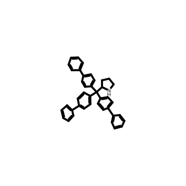 c1ccc(-c2ccc(C(c3ccc(-c4ccccc4)cc3)(c3ccc(-c4ccccc4)cc3)C3CCCN3)cc2)cc1